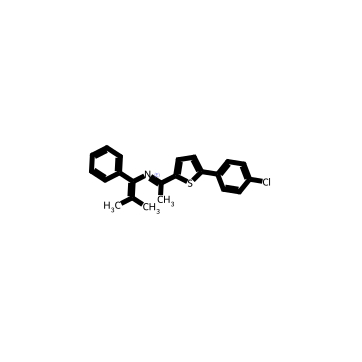 CC(C)=C(/N=C(\C)c1ccc(-c2ccc(Cl)cc2)s1)c1ccccc1